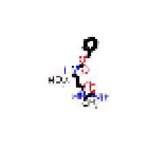 CC(NC(=O)CCC(NC(=O)OCc1ccccc1)C(=O)O)C([NH])=O